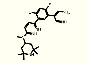 CN(C(=N)/C=C\C(=N)c1cc(/C(C=N)=C/N)c(F)cc1O)C1CC(C)(C)NC(C)(C)C1